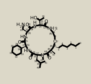 CCCCCC[C@H]1OC[C@@H](C)NC(=O)[C@H](C(C)O)NC(=O)[C@H](CN)NC(=O)[C@H](C2CCCCC2)NC(=O)[C@H](CC(C)C)N(C)C(=O)[C@@H]1C